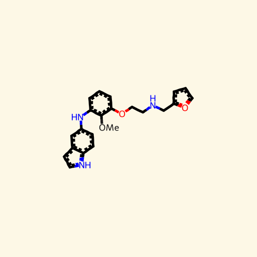 COc1c(Nc2ccc3[nH]ccc3c2)cccc1OCCNCc1ccco1